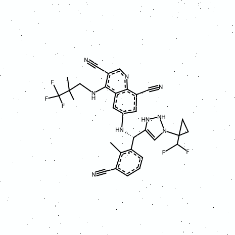 Cc1c(C#N)cccc1[C@H](Nc1cc(C#N)c2ncc(C#N)c(NCC(C)(C)C(F)(F)F)c2c1)C1=CN(C2(C(F)F)CC2)NN1